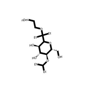 CCCCCCCCCCCCOC(CC)(CC)C1O[C@H](CO)[C@@H](OC(CC)CC)[C@H](O)[C@H]1O